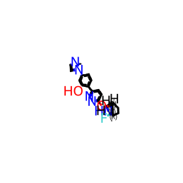 C[C@]12CC[C@H](CN1)[C@H](Oc1ccc(-c3ccc(-n4ccnc4)cc3O)nn1)[C@@H]2F